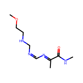 CNC(=O)/C(C)=N/C=N\CNCCOC